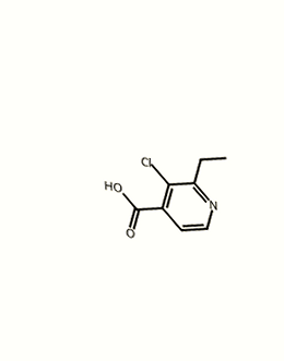 CCc1nccc(C(=O)O)c1Cl